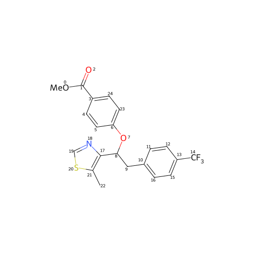 COC(=O)c1ccc(OC(Cc2ccc(C(F)(F)F)cc2)c2ncsc2C)cc1